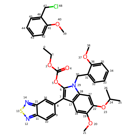 CCOC(=O)Oc1c(-c2ccc3nsnc3c2)c2cc(OC)c(OC(C)C)cc2n1Cc1ccccc1OC.COc1ccccc1CCl